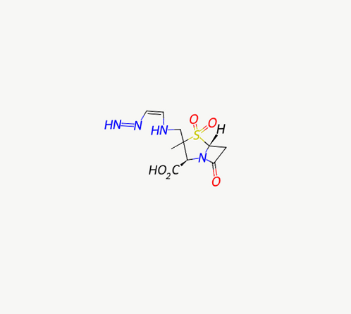 CC1(CN/C=C\N=N)[C@H](C(=O)O)N2C(=O)C[C@H]2S1(=O)=O